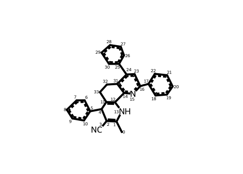 CC1=C(C#N)C(c2ccccc2)C2=C(N1)c1nc(-c3ccccc3)cc(-c3ccccc3)c1CC2